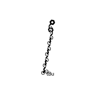 CC(C)(C)OC(=O)CCOCCOCCOCCOCCOCCOCCN1CCN(Cc2ccccc2)CC1